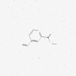 COC(=O)c1cc(C=O)ccn1